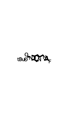 CC(C)(C)OC(=O)N1Cc2cnc(CN3CC(F)C3)cc2C1